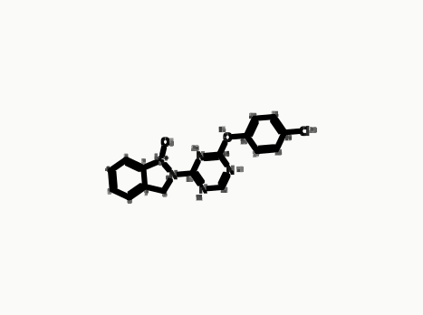 [O-][S+]1c2ccccc2CN1c1ncnc(Oc2ccc(Cl)cc2)n1